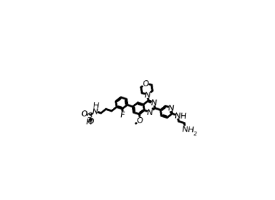 COc1cc(-c2cccc(CCCN[SH](=O)=O)c2F)cc2c(N3CCOCC3)nc(-c3ccc(NCCN)nc3)nc12